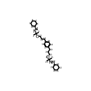 CC(C)(N=NC1CCCCC1)OCCCc1ccc(CCCOC(C)(C)N=NC2CCCCC2)cc1